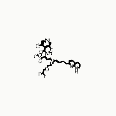 O=C(NC(CCN(CCCCc1ccc2c(n1)NCCC2)CCOCC(F)F)C(=O)O)c1c(F)cncc1Cl